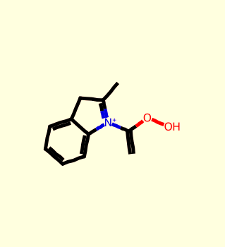 C=C(OO)[N+]1=C(C)Cc2ccccc21